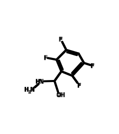 NNC(O)c1c(F)c(F)cc(F)c1F